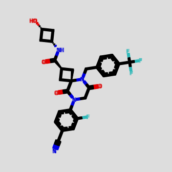 N#Cc1ccc(N2CC(=O)N(Cc3ccc(C(F)(F)F)cc3)[C@]3(C[C@H](C(=O)N[C@H]4C[C@@H](O)C4)C3)C2=O)c(F)c1